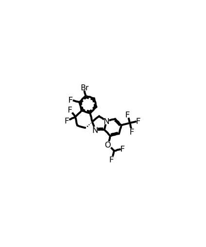 Fc1c(Br)ccc2c1C(F)(F)CC[C@@]21CN2C=C(C(F)(F)F)C=C(OC(F)F)C2=N1